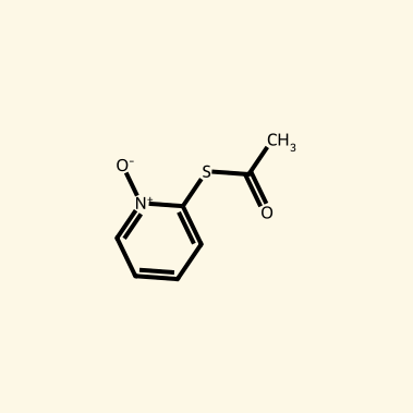 CC(=O)Sc1cccc[n+]1[O-]